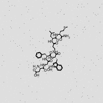 CSCC[C@H](NC(=O)[C@H](CC(C)C)NC(=O)CCNC(=O)[C@H](Cc1c[nH]c2ccccc12)NC(=O)[C@H](Cc1ccccc1)NC(=O)[C@H](CO)NC(=O)[C@@H](N)CC(=O)O)C(N)=O